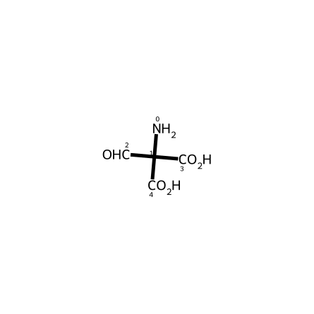 NC(C=O)(C(=O)O)C(=O)O